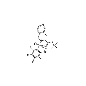 Cc1cnccc1CN(CC(=O)OC(C)(C)C)S(=O)(=O)c1c(F)c(F)c(F)c(F)c1Br